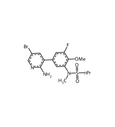 CCCS(=O)(=O)N(C)c1cc(-c2cc(Br)cnc2N)cc(F)c1OC